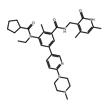 CCN(C(=O)C1CCCC1)c1cc(-c2ccc(N3CCN(C)CC3)nc2)cc(C(=O)NCc2c(C)cc(C)[nH]c2=O)c1C